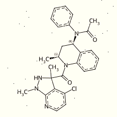 CC(=O)N(c1ccccc1)[C@@H]1C[C@H](C)N(C(=O)C2(C)NN(C)c3nccc(Cl)c32)c2ccccc21